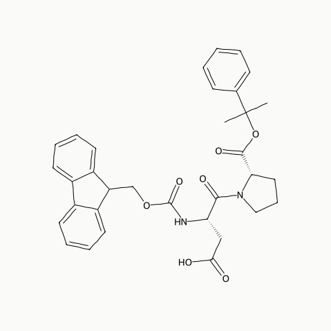 CC(C)(OC(=O)[C@@H]1CCCN1C(=O)[C@H](CC(=O)O)NC(=O)OCC1c2ccccc2-c2ccccc21)c1ccccc1